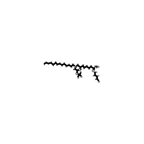 CCCCCCCCCCCCCCN(CCCCCCCC(=N)OCCCCC)CC(=O)OC(C)(C)C